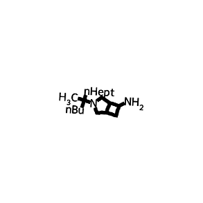 CCCCCCCC(C)(CCCC)N1CC2CC(N)C2C1